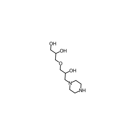 OCC(O)COCC(O)CN1CCNCC1